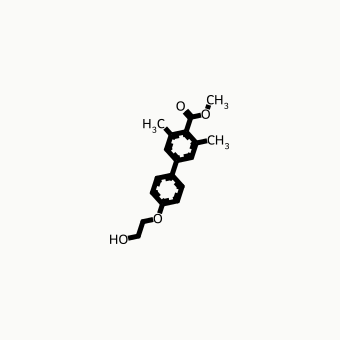 COC(=O)c1c(C)cc(-c2ccc(OCCO)cc2)cc1C